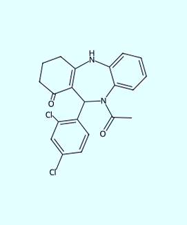 CC(=O)N1c2ccccc2NC2=C(C(=O)CCC2)C1c1ccc(Cl)cc1Cl